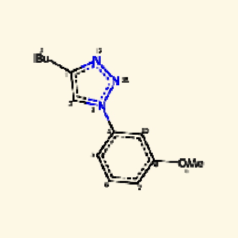 CCC(C)c1cn(-c2cccc(OC)c2)nn1